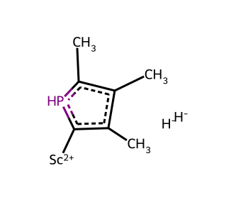 Cc1[pH][c]([Sc+2])c(C)c1C.[H-].[H-]